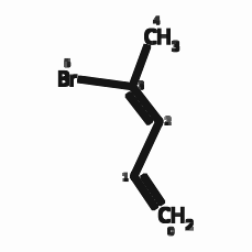 C=CC=C(C)Br